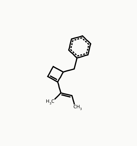 CC=C(C)C1=CCC1Cc1ccccc1